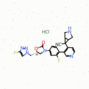 Cl.N#CC1(c2ccncc2-c2ccc(N3C[C@H](Cn4cc(F)nn4)OC3=O)cc2F)C2CNCC21